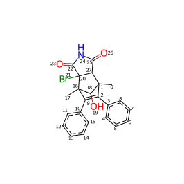 CC12C(c3ccccc3)=C(c3ccccc3)C(C)(C1O)C1(Br)C(=O)NC(=O)C21